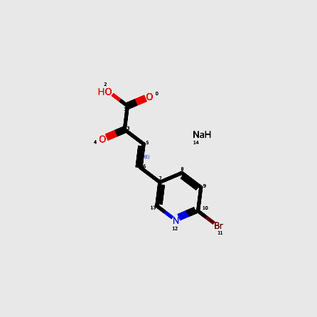 O=C(O)C(=O)/C=C/c1ccc(Br)nc1.[NaH]